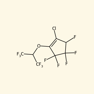 FC1C(Cl)=C(OC(C(F)(F)F)C(F)(F)F)C(F)(F)C1(F)F